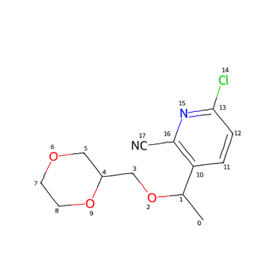 CC(OCC1COCCO1)c1ccc(Cl)nc1C#N